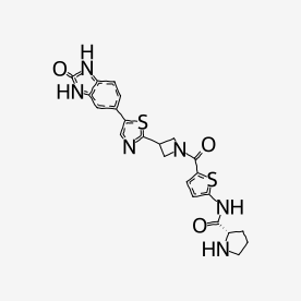 O=C(Nc1ccc(C(=O)N2CC(c3ncc(-c4ccc5[nH]c(=O)[nH]c5c4)s3)C2)s1)[C@@H]1CCCN1